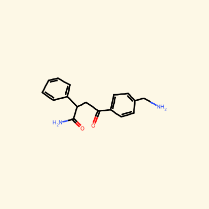 NCc1ccc(C(=O)CC(C(N)=O)c2ccccc2)cc1